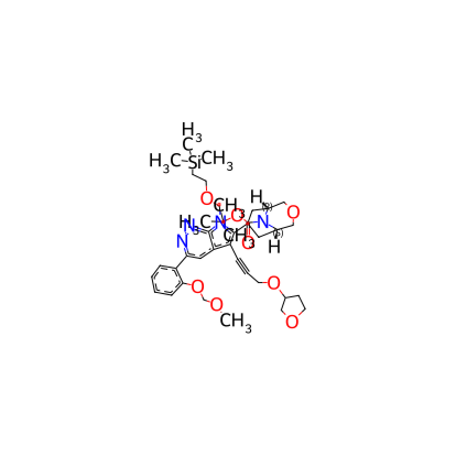 COCOc1ccccc1-c1cc2c(C#CCOC3CCOC3)c(C3C[C@H]4COC[C@@H](C3)N4C(=O)OC(C)(C)C)n(COCC[Si](C)(C)C)c2nn1